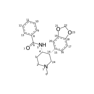 CN1CC[C@H](NC(=O)c2ccccc2)[C@H](c2ccc3c(c2)OCO3)C1